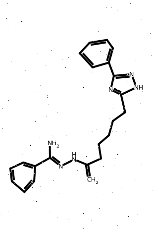 C=C(CCCCCc1nc(-c2ccccc2)n[nH]1)N/N=C(\N)c1ccccc1